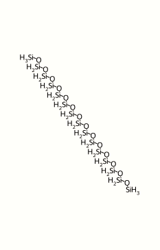 [SiH3]O[SiH2]O[SiH2]O[SiH2]O[SiH2]O[SiH2]O[SiH2]O[SiH2]O[SiH2]O[SiH2]O[SiH2]O[SiH2]O[SiH2]O[SiH2]O[SiH3]